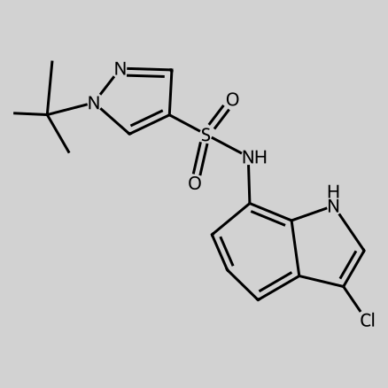 CC(C)(C)n1cc(S(=O)(=O)Nc2cccc3c(Cl)c[nH]c23)cn1